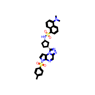 Cc1ccc(S(=O)(=O)n2ccc3c2ncc2nnc([C@@H]4CC[C@H](NS(=O)(=O)c5cccc6c(N(C)C)cccc56)C4)n23)cc1